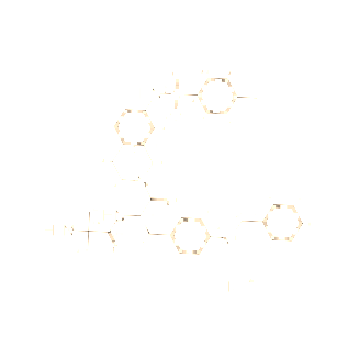 Cc1ccc(S(=O)(=O)Nc2ccc3c(c2)CN(C(=O)[C@@H](Cc2ccc(OCc4ccccc4)cc2)NC(=O)C(C)(C)N)CC3)cc1.Cl